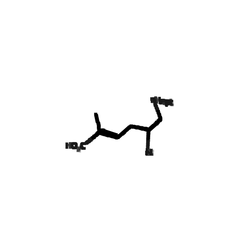 CCCCCCCCC(CC)CC=C(C)C(=O)O